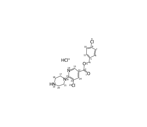 Cl.O=C(OCc1ccc(Cl)cc1)c1cnc(N2CCNCC2)c(Cl)c1